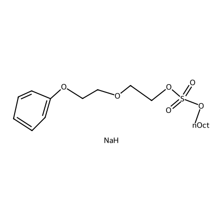 CCCCCCCCOS(=O)(=O)OCCOCCOc1ccccc1.[NaH]